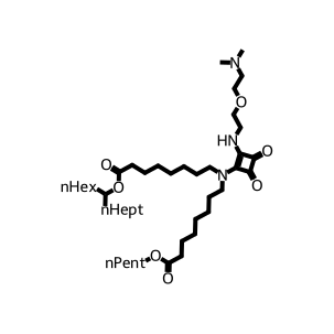 CCCCCCCC(CCCCCC)OC(=O)CCCCCCCN(CCCCCCCC(=O)OCCCCC)c1c(NCCOCCN(C)C)c(=O)c1=O